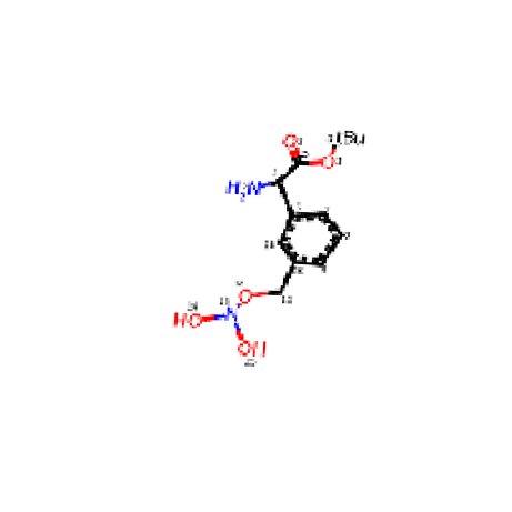 CC(C)(C)OC(=O)C(N)c1cccc(CON(O)O)c1